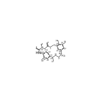 C=C(CC)C[C@H](C)C(=C)Nc1ccc(C(C)CC[C@@H](C)c2ccc(C)c(C)c2)cc1C